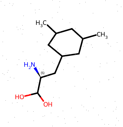 CC1CC(C)CC(C[C@H](N)C(O)O)C1